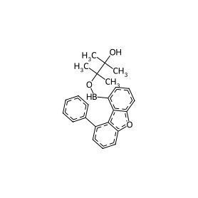 CC(C)(O)C(C)(C)OBc1cccc2oc3cccc(-c4ccccc4)c3c12